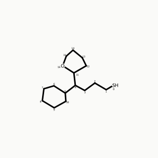 SCCCC(C1CCCCC1)C1CCCCO1